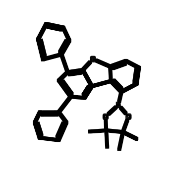 CC1(C)OB(c2cccc3oc4c(-c5ccccc5)cc(-c5ccccc5)cc4c23)OC1(C)C